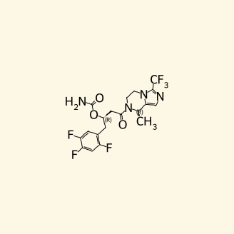 C[C@@H]1c2cnc(C(F)(F)F)n2CCN1C(=O)C[C@@H](Cc1cc(F)c(F)cc1F)OC(N)=O